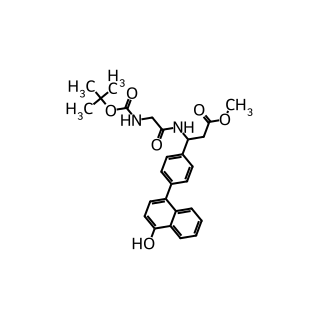 COC(=O)CC(NC(=O)CNC(=O)OC(C)(C)C)c1ccc(-c2ccc(O)c3ccccc23)cc1